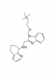 C[Si](C)(C)CCOCn1c(CNC2CCCc3cccnc32)nc2ccccc21